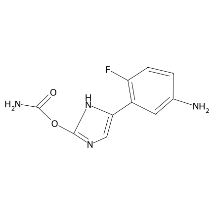 NC(=O)Oc1ncc(-c2cc(N)ccc2F)[nH]1